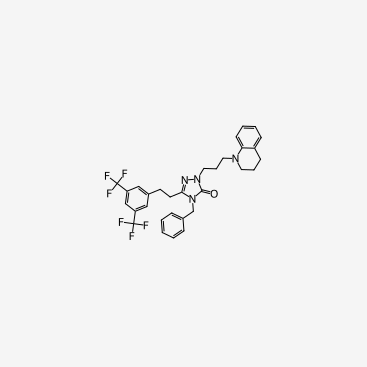 O=c1n(CCCN2CCCc3ccccc32)nc(CCc2cc(C(F)(F)F)cc(C(F)(F)F)c2)n1Cc1ccccc1